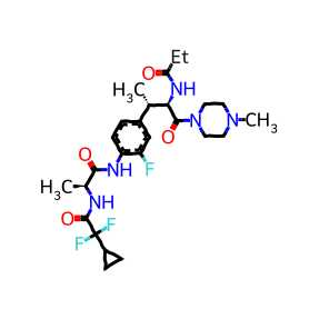 CCC(=O)N[C@@H](C(=O)N1CCN(C)CC1)[C@@H](C)c1ccc(NC(=O)[C@H](C)NC(=O)C(F)(F)C2CC2)c(F)c1